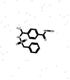 CC(NS(=O)(=O)Cc1ccccc1)c1ccc(C(=O)NO)cc1